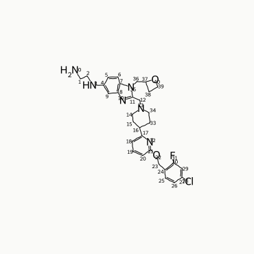 NCCNc1ccc2c(c1)nc(CN1CCC(c3cccc(OCc4ccc(Cl)cc4F)n3)CC1)n2CC1CCO1